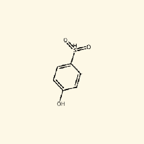 O=[SH](=O)c1[c]cc(O)cc1